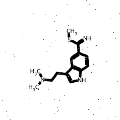 CSC(=N)c1ccc2[nH]cc(CCN(C)C)c2c1